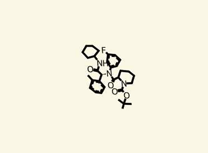 Cc1ccccc1[C@H](C(=O)NC1CCCCC1)N(C(=O)C1CCCCN1C(=O)OC(C)(C)C)c1cccc(F)c1